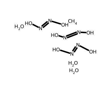 C.O.O.O.ON=NO.ON=NO.ON=NO